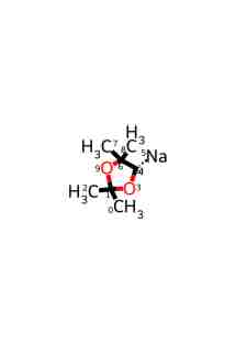 CC1(C)O[C@@H]([Na])C(C)(C)O1